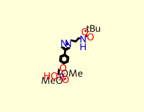 COP(=O)(OC)C(O)COc1ccc(-c2cnn(CCCNC(=O)OC(C)(C)C)c2)cc1